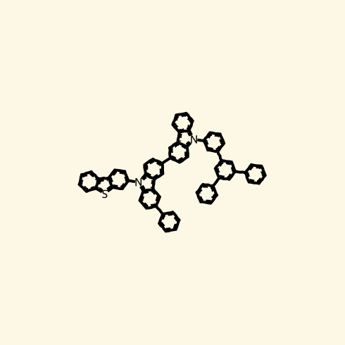 c1ccc(-c2cc(-c3ccccc3)cc(-c3cccc(-n4c5ccccc5c5cc(-c6ccc7c(c6)c6cc(-c8ccccc8)ccc6n7-c6ccc7c(c6)sc6ccccc67)ccc54)c3)c2)cc1